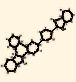 c1ccc2oc(-c3ccc(-c4ccc5c(c4)c4ncccc4n4c6ccccc6nc54)cc3)nc2c1